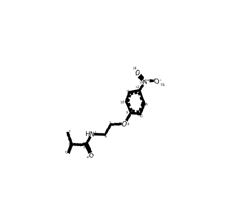 CC(C)C(=O)NCCOc1ccc([N+](=O)[O-])cc1